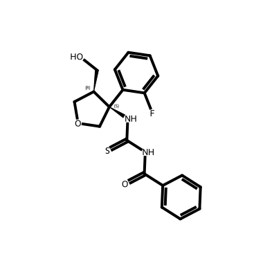 O=C(NC(=S)N[C@@]1(c2ccccc2F)COC[C@H]1CO)c1ccccc1